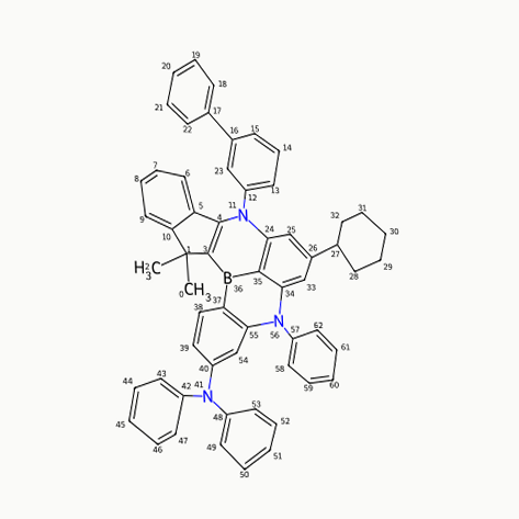 CC1(C)C2=C(c3ccccc31)N(c1cccc(-c3ccccc3)c1)c1cc(C3CCCCC3)cc3c1B2c1ccc(N(c2ccccc2)c2ccccc2)cc1N3c1ccccc1